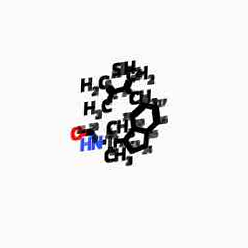 C=C(C)C(=C)C.[CH3][Ti]([CH3])([NH]C=O)[CH]1CCC2C=CC=CC21.[SiH4]